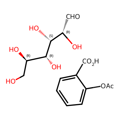 CC(=O)Oc1ccccc1C(=O)O.O=C[C@H](O)[C@@H](O)[C@H](O)[C@H](O)CO